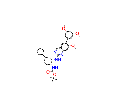 COc1cc(OC)cc(-c2cc3cnc(NC4CC(C5CCCC5)CCC4NC(=O)OC(C)(C)C)nc3cc2OC)c1